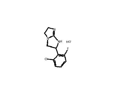 Cl.Fc1cccc(Cl)c1C1CN2CCN=C2N1